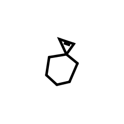 C1=CC12CCCCC2